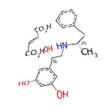 C[C@@H](Cc1ccccc1)NC[C@@H](O)c1cc(O)cc(O)c1.O=C(O)C=CC(=O)O